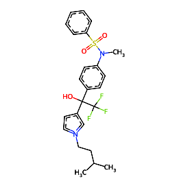 CC(C)CCn1ccc(C(O)(c2ccc(N(C)S(=O)(=O)c3ccccc3)cc2)C(F)(F)F)c1